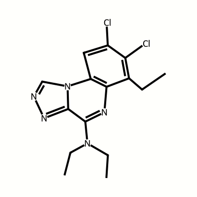 CCc1c(Cl)c(Cl)cc2c1nc(N(CC)CC)c1nncn12